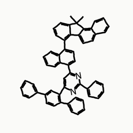 CC1(C)c2cccc(-c3ccc(-c4cc(-c5cc(-c6ccccc6)ccc5-c5ccccc5)nc(-c5ccccc5)n4)c4ccccc34)c2-c2ccc3ccccc3c21